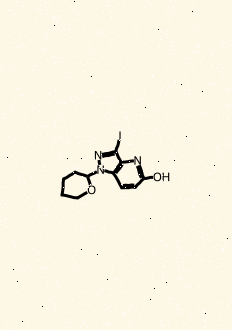 Oc1ccc2c(n1)c(I)nn2C1CCCCO1